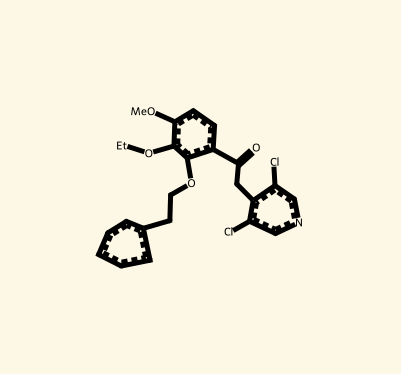 CCOc1c(OC)ccc(C(=O)Cc2c(Cl)cncc2Cl)c1OCCc1ccccc1